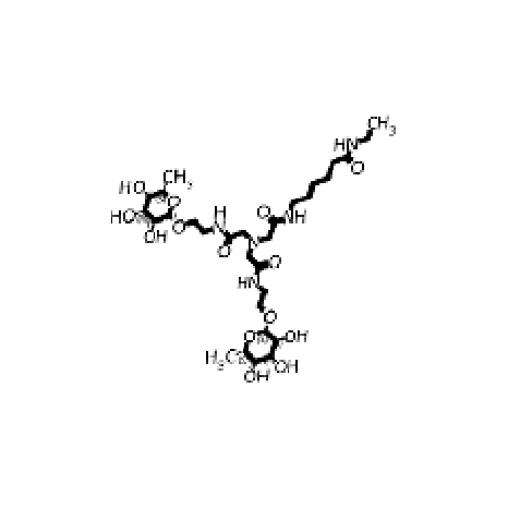 CCNC(=O)CCCCCNC(=O)CN(CC(=O)NCCO[C@H]1O[C@@H](C)[C@@H](O)[C@@H](O)[C@@H]1O)CC(=O)NCCO[C@H]1O[C@@H](C)[C@@H](O)[C@@H](O)[C@@H]1O